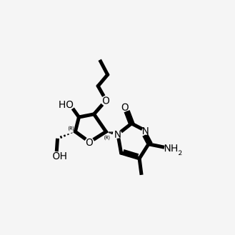 CCCOC1C(O)[C@@H](CO)O[C@H]1n1cc(C)c(N)nc1=O